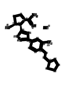 Cl.N=C(N)N1CC[C@H](O)[C@H]1c1nc(-c2ccc(CCC3CCCC3)c(C(F)(F)F)c2)no1